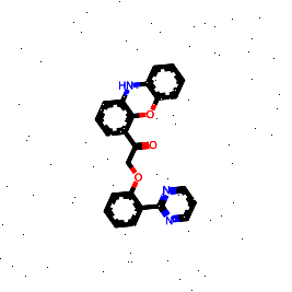 O=C(COc1ccccc1-c1ncccn1)c1cccc2c1Oc1ccccc1N2